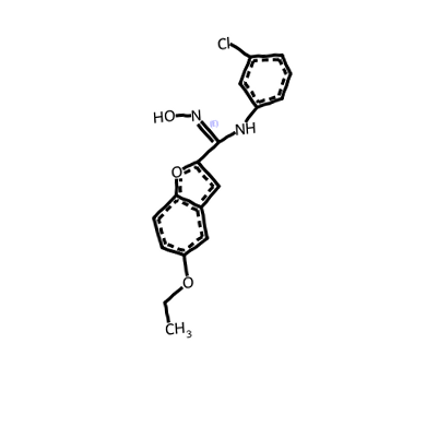 CCOc1ccc2oc(/C(=N\O)Nc3cccc(Cl)c3)cc2c1